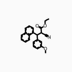 CCOC(=O)C(C#N)C(c1cccc(OC)c1)c1cccc2ccccc12